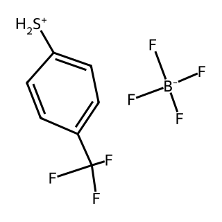 FC(F)(F)c1ccc([SH2+])cc1.F[B-](F)(F)F